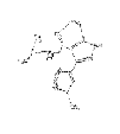 CC(C)Nc1nccc2[nH]nc(-c3cn(C)nn3)c12